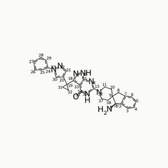 N[C@@H]1c2ccccc2CC12CCN(c1nc3[nH]nc(C4(c5cnn(-c6ccccc6)c5)CC4)c3c(=O)[nH]1)CC2